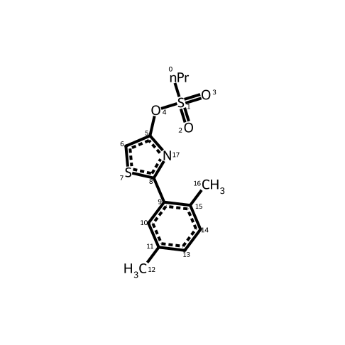 CCCS(=O)(=O)Oc1csc(-c2cc(C)ccc2C)n1